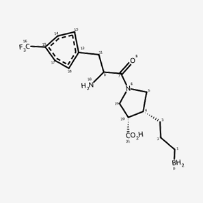 BCCC[C@H]1CN(C(=O)C(N)Cc2ccc(C(F)(F)F)cc2)C[C@H]1C(=O)O